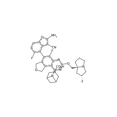 N#Cc1c(N)oc2ccc(F)c(-c3c4c(c5c(N6C7CC6CN(C(=O)O)C7)nc(OC[C@@]67CCCN6C[C@H](F)C7)nc5c3F)COC4)c12